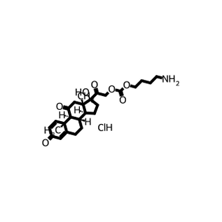 C[C@]12C=CC(=O)C=C1CC[C@@H]1[C@@H]2C(=O)C[C@@]2(C)[C@H]1CC[C@]2(O)C(=O)COC(=O)OCCCCN.Cl